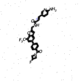 Nc1ccc(/C=C/C(=O)NCc2cc3cc(-c4ccc(C(=O)N5CC(F)C5)cc4)cc(C(F)(F)F)c3o2)cn1